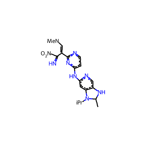 CN/C=C(\C(=N)[N+](=O)[O-])c1nccc(Nc2cc3c(cn2)NC(C)N3C(C)C)n1